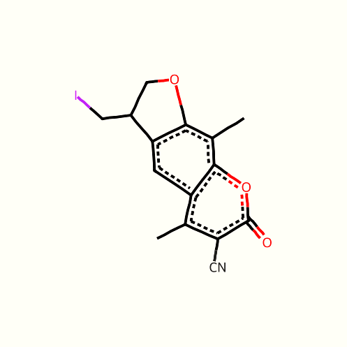 Cc1c(C#N)c(=O)oc2c(C)c3c(cc12)C(CI)CO3